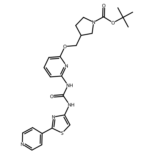 CC(C)(C)OC(=O)N1CCC(COc2cccc(NC(=O)Nc3csc(-c4ccncc4)n3)n2)C1